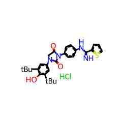 CC(C)(C)c1cc(N2CC(=O)N(c3ccc(NC(=N)c4cccs4)cc3)C2=O)cc(C(C)(C)C)c1O.Cl